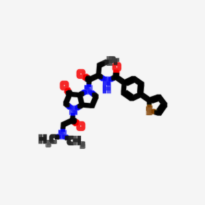 CC(C)CC(NC(=O)c1ccc(-c2cccs2)cc1)C(=O)N1CCC2C1C(=O)CN2C(=O)CN(C)C